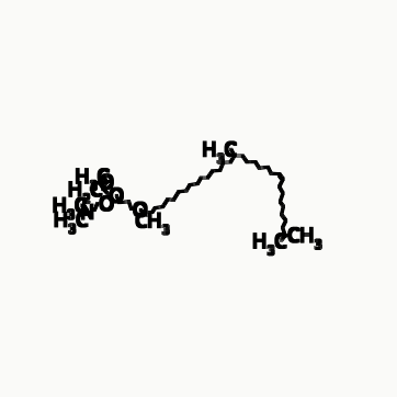 C=C(OC)C(OCCCOC(C)CCCCCCCCCCCCCCCC(C)CCCCCC/C=C\CCCCCCCC(C)C)OCCN(C)C